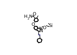 Cc1ccc(Oc2ccc3c(/C=C/c4ccccc4)nn(COCC[Si](C)(C)C)c3c2)cc1C(N)=O